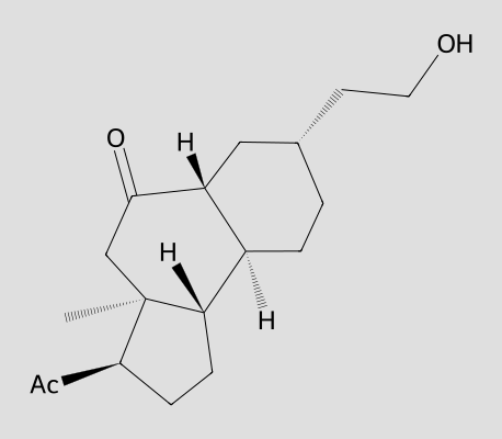 CC(=O)[C@@H]1CC[C@H]2[C@@H]3CC[C@@H](CCO)C[C@H]3C(=O)C[C@]12C